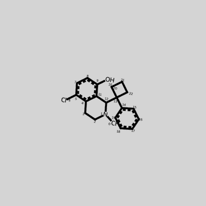 CN1CCc2c(Cl)ccc(O)c2C1C1(c2ccccc2)CCC1